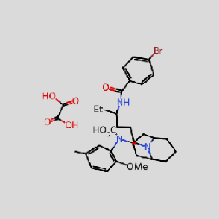 CCC(CCCN1C2CCCC1CC(N(C(=O)O)c1cc(C)ccc1OC)C2)NC(=O)c1ccc(Br)cc1.O=C(O)C(=O)O